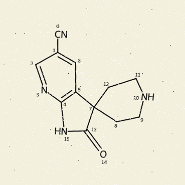 N#Cc1cnc2c(c1)C1(CCNCC1)C(=O)N2